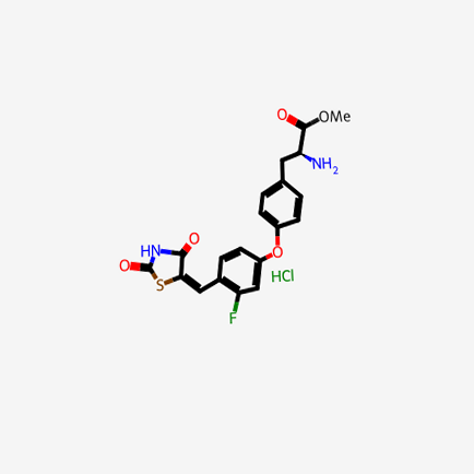 COC(=O)[C@@H](N)Cc1ccc(Oc2ccc(/C=C3/SC(=O)NC3=O)c(F)c2)cc1.Cl